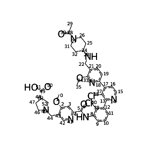 COc1cc(C(=O)Nc2cccc(-c3nccc(-c4ccc(CNC5CCN(C(C)=O)CC5)c(OC)n4)c3Cl)c2Cl)ncc1CN1CC[C@H](C(=O)O)C1